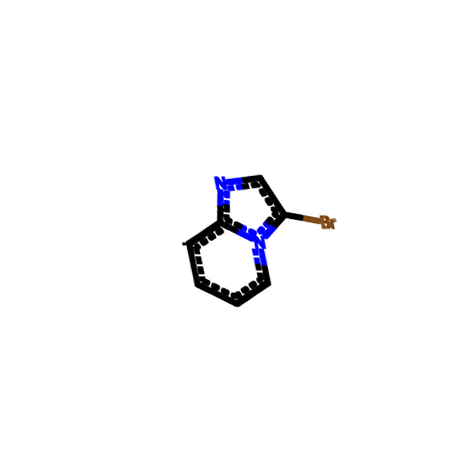 Brc1cnc2[c]cccn12